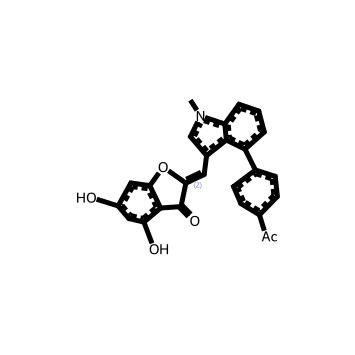 CC(=O)c1ccc(-c2cccc3c2c(/C=C2\Oc4cc(O)cc(O)c4C2=O)cn3C)cc1